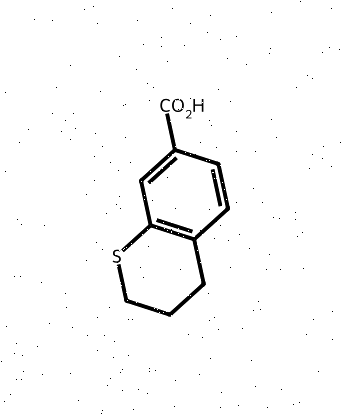 O=C(O)c1ccc2c(c1)SCCC2